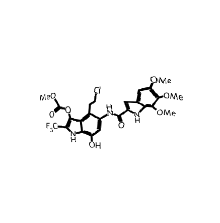 COC(=O)Oc1c(C(F)(F)F)[nH]c2c(O)cc(NC(=O)c3cc4cc(OC)c(OC)c(OC)c4[nH]3)c(CCCl)c12